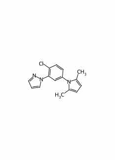 Cc1ccc(C)n1-c1ccc(Cl)c(-n2cccn2)c1